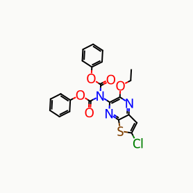 CCOc1nc2cc(Cl)sc2nc1N(C(=O)Oc1ccccc1)C(=O)Oc1ccccc1